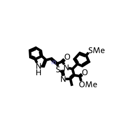 COC(=O)C1=C(C)N=c2s/c(=C\c3c[nH]c4ccccc34)c(=O)n2C1c1ccc(SC)cc1